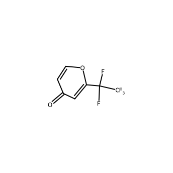 O=c1ccoc(C(F)(F)C(F)(F)F)c1